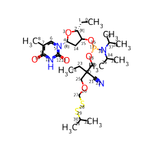 CC[C@H]1O[C@@H](n2cc(C)c(=O)[nH]c2=O)CC1OP(OCC(C#N)(CC)COCSSC(C)C)N(C(C)C)C(C)C